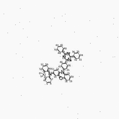 CC1(C)c2ccccc2N(c2ccc3c(c2)Oc2ccccc2N3c2ccc(-c3nc(-c4ccccc4)nc(-c4ccccc4)n3)cc2)c2ccccc21